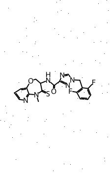 CN1C(=S)C(NC(=O)c2ncn(Cc3c(F)cccc3F)n2)COc2cccnc21